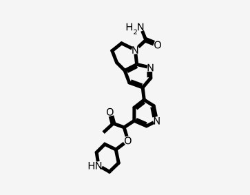 CC(=O)C(OC1CCNCC1)c1cncc(-c2cnc3c(c2)CCCN3C(N)=O)c1